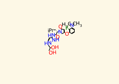 CC(C)C[C@@H](C(=O)NC(=N)/C=C\NC[C@@H](O)CO)N1CC(Oc2cccc(N(C)C)c2F)=CC1=O